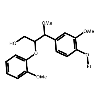 CCOc1ccc(C(OC)C(CO)Oc2ccccc2OC)cc1OC